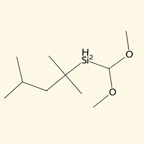 COC(OC)[SiH2]C(C)(C)CC(C)C